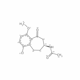 COc1ccc(Cl)c2c1C(=O)C[C@@H](NC(C)=O)CC2